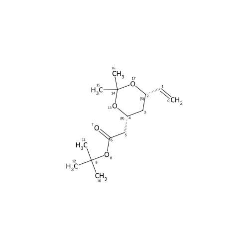 C=C[C@@H]1C[C@H](CC(=O)OC(C)(C)C)OC(C)(C)O1